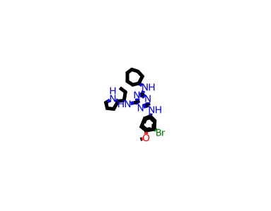 CCC(Nc1nc(Nc2ccc(OC)c(Br)c2)nc(NC2CCCCCC2)n1)C1CCCN1